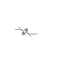 CCCCCCC(C#CC1c2ccsc2C(C#CC(CC)CCCC)c2ccsc21)CC